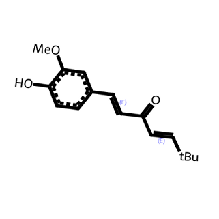 COc1cc(/C=C/C(=O)/C=C/C(C)(C)C)ccc1O